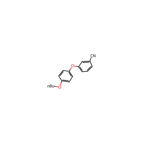 CCCCOc1ccc(Oc2cccc(C#N)c2)cc1